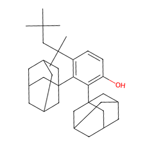 CC(C)(C)CC(C)(C)c1ccc(O)c(C23CC4CC(CC(C4)C2)C3)c1C12CC3CC(CC(C3)C1)C2